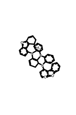 CC1CC=Cc2oc3cccc(N4C5=C6B(c7ccccc74)c4ccccc4N(c4cccc7oc8ccccc8c47)C6CC=C5)c3c21